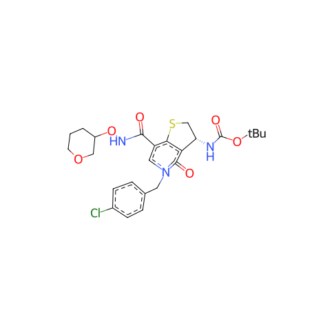 CC(C)(C)OC(=O)N[C@H]1CSc2c(C(=O)NOC3CCCOC3)cn(Cc3ccc(Cl)cc3)c(=O)c21